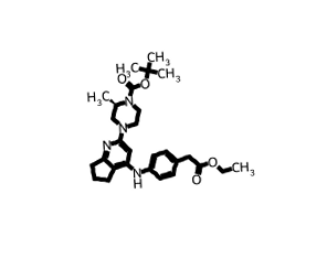 CCOC(=O)Cc1ccc(Nc2cc(N3CCN(C(=O)OC(C)(C)C)[C@H](C)C3)nc3c2CCC3)cc1